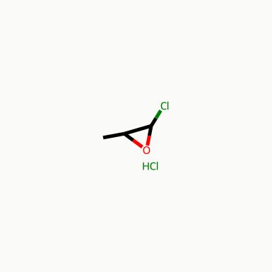 CC1OC1Cl.Cl